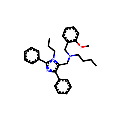 CCCCN(Cc1ccccc1OC)Cc1c(-c2ccccc2)nc(-c2ccccc2)n1CCC